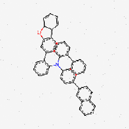 C1=CC2Oc3cc(-c4ccccc4N(c4ccc(-c5ccc6ccccc6c5)cc4)c4ccccc4-c4ccccc4)ccc3C2C=C1